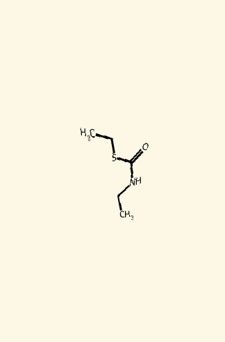 CCNC(=O)SCC